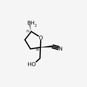 B[C@H]1CC[C@@](C#N)(CO)O1